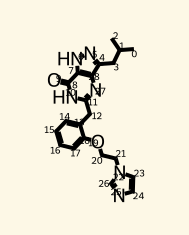 CC(C)Cc1n[nH]c2c(=O)[nH]c(Cc3ccccc3OCCn3ccnc3)nc12